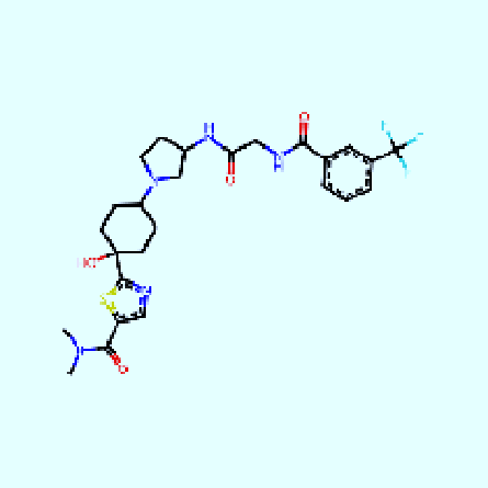 CN(C)C(=O)c1cnc(C2(O)CCC(N3CCC(NC(=O)CNC(=O)c4cccc(C(F)(F)F)c4)C3)CC2)s1